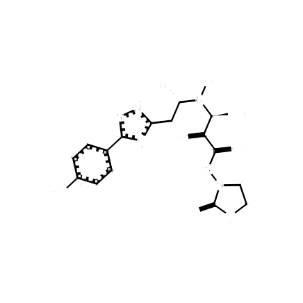 CCCC[C@@H](C(=O)C(=O)NN1CCOC1=O)N(C(=O)O)[C@H](Cc1nnc(-c2ccc(C(F)(F)F)cc2)o1)C(C)(C)C